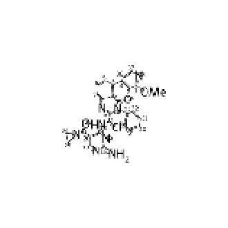 COc1cc(-c2cccc3nc([C@@H](C)Nc4nc(N)ncc4C(=O)N4CC4)n(-c4ccccc4)c(=O)c23)ccn1